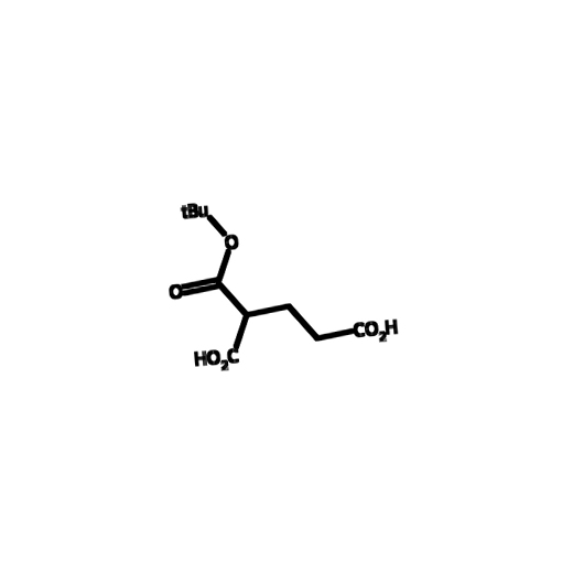 CC(C)(C)OC(=O)C(CCC(=O)O)C(=O)O